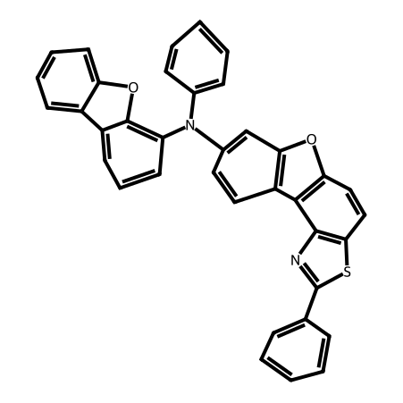 c1ccc(-c2nc3c(ccc4oc5cc(N(c6ccccc6)c6cccc7c6oc6ccccc67)ccc5c43)s2)cc1